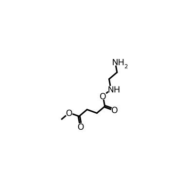 COC(=O)CCC(=O)ONCCN